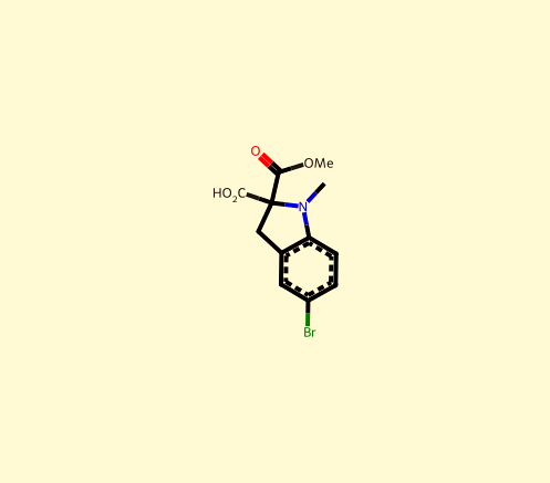 COC(=O)C1(C(=O)O)Cc2cc(Br)ccc2N1C